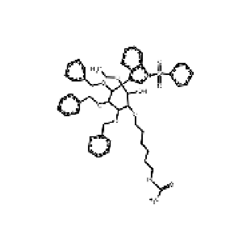 CCOC1(c2cn(S(=O)(=O)c3ccccc3)c3ccccc23)C(O)C(OCCCCCCNC(C)=O)C(OCc2ccccc2)C(OCc2ccccc2)C1OCc1ccccc1